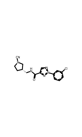 N#CN1CC[C@@H](CNC(=O)c2cnn(-c3cccc(Cl)c3)n2)C1